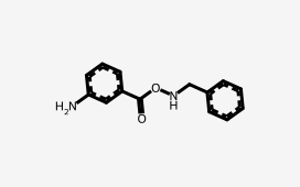 Nc1cccc(C(=O)ONCc2ccccc2)c1